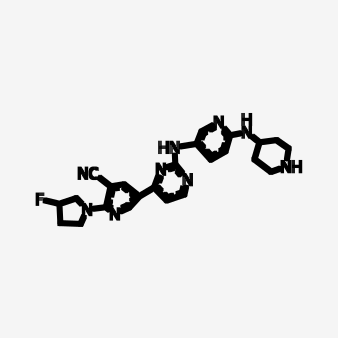 N#Cc1cc(-c2ccnc(Nc3ccc(NC4CCNCC4)nc3)n2)cnc1N1CCC(F)C1